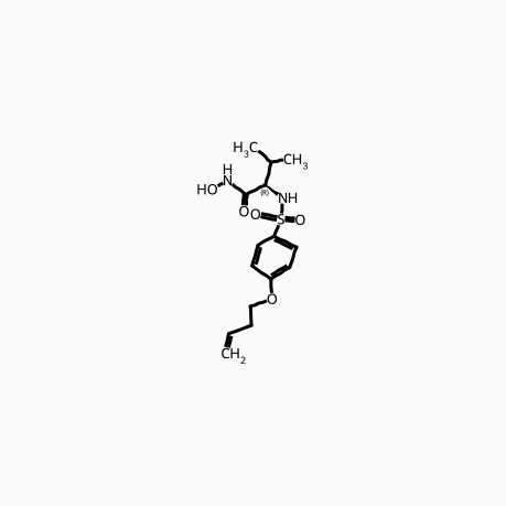 C=CCCOc1ccc(S(=O)(=O)N[C@@H](C(=O)NO)C(C)C)cc1